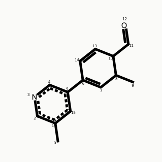 Cc1cncc(C2=CC(C)C(C=O)C=C2)c1